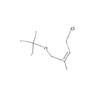 CC(=CCCl)COC(C)(C)C